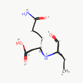 CCC(C=O)N[C@@H](CCC(N)=O)C(=O)O